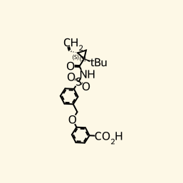 C=C[C@@H]1C[C@@]1(C(=O)NS(=O)(=O)c1cccc(COc2cccc(C(=O)O)c2)c1)C(C)(C)C